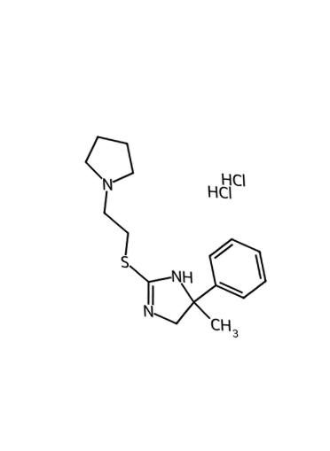 CC1(c2ccccc2)CN=C(SCCN2CCCC2)N1.Cl.Cl